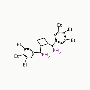 CCc1cc(C(P)C2CCC2C(P)c2cc(CC)c(CC)c(CC)c2)cc(CC)c1CC